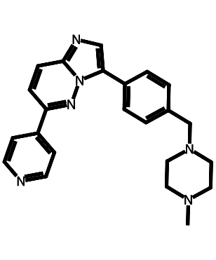 CN1CCN(Cc2ccc(-c3cnc4ccc(-c5ccncc5)nn34)cc2)CC1